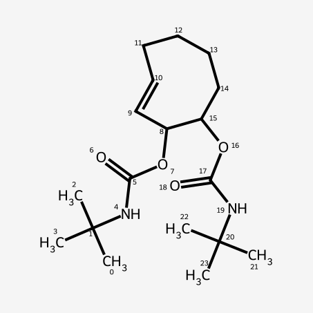 CC(C)(C)NC(=O)OC1/C=C/CCCCC1OC(=O)NC(C)(C)C